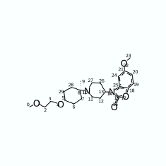 COCCO[C@H]1CC[C@](C)(N2CCC(n3c(=O)oc4ccc(OC)cc43)CC2)CC1